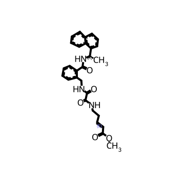 COC(=O)/C=C/CCNC(=O)C(=O)NCc1ccccc1C(=O)N[C@H](C)c1cccc2ccccc12